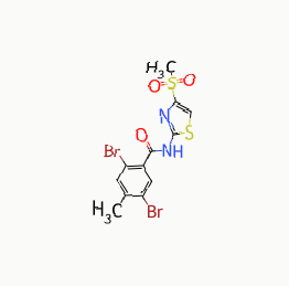 Cc1cc(Br)c(C(=O)Nc2nc(S(C)(=O)=O)cs2)cc1Br